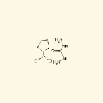 ClC(Cl)C1CCCC1.NNC(=O)NN